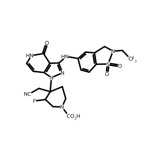 N#CCC1(n2nc(Nc3ccc4c(c3)CN(CC(F)(F)F)S4(=O)=O)c3c(=O)[nH]ccc32)CCN(C(=O)O)CC1F